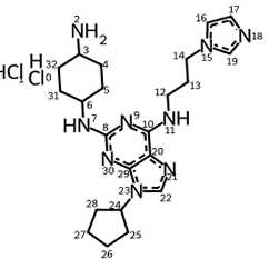 Cl.Cl.NC1CCC(Nc2nc(NCCCn3ccnc3)c3ncn(C4CCCC4)c3n2)CC1